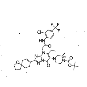 CCc1c(N2CCN(C(=O)OC(C)(C)C)[C@H](C)C2)c(=O)n2nc(C3=CCC4(CCCO4)CC3)nc2n1CC(=O)Nc1ccc(C(F)(F)F)cc1Cl